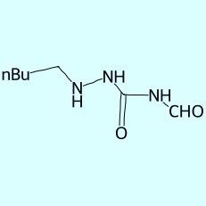 CCCCCNNC(=O)NC=O